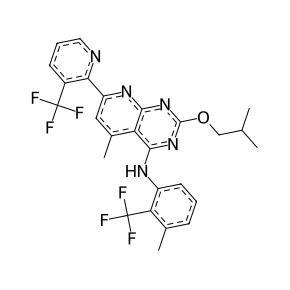 Cc1cccc(Nc2nc(OCC(C)C)nc3nc(-c4ncccc4C(F)(F)F)cc(C)c23)c1C(F)(F)F